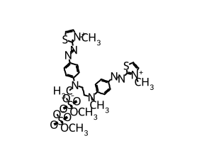 CN(CCN(C)c1ccc(N=Nc2scc[n+]2C)cc1)c1ccc(N=Nc2scc[n+]2C)cc1.COS(=O)(=O)[O-].COS(=O)(=O)[O-]